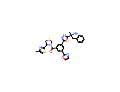 Cc1csc(C2COCN2C(=O)c2cc(-c3ncco3)cc(-c3nnc(C(C)(N)Cc4ccccc4)o3)c2)n1